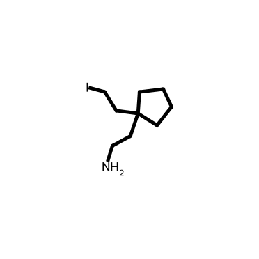 NCCC1(CCI)CCCC1